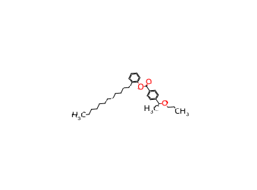 CCCCCCCCCCCCc1ccccc1OC(=O)c1ccc(C(C)OCCC)cc1